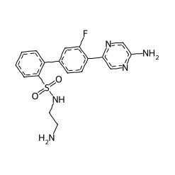 NCCNS(=O)(=O)c1ccccc1-c1ccc(-c2cnc(N)cn2)c(F)c1